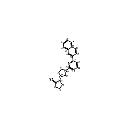 O=C1CCCN1[C@@H]1CCN(c2nccc(-c3ccc4ccccc4c3)n2)C1